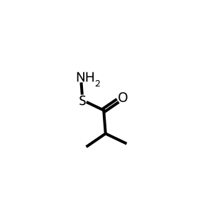 CC(C)C(=O)SN